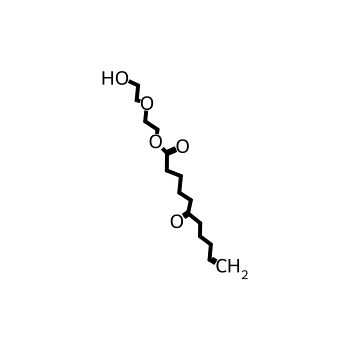 C=CCCCC(=O)CCCCC(=O)OCCOCCO